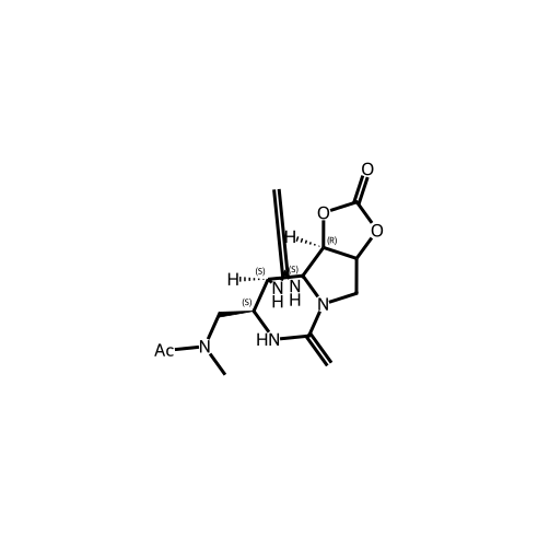 C=C1N[C@H]2[C@H](CN(C)C(C)=O)NC(=C)N3CC4OC(=O)O[C@@H]4[C@]23N1